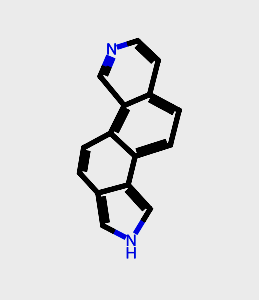 c1cc2ccc3c4c[nH]cc4ccc3c2cn1